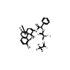 CC(O)C(=O)OC(C(=O)OC1=CC[C@@]2(O)[C@H]3Cc4ccc(O)c5c4[C@@]2(CCN3C)[C@H]1O5)c1ccccc1.O=C(O)C(F)(F)F